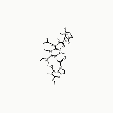 CC[C@H](C)[C@@H]([C@@H](CC(=O)N1CCC[C@H]1[C@H](OC)[C@@H](C)C(=O)OC)OC)N(C)C(=O)[C@@H](NC(=O)[C@@H]1[C@H]2CC[C@H](C2)N1C)C(C)C